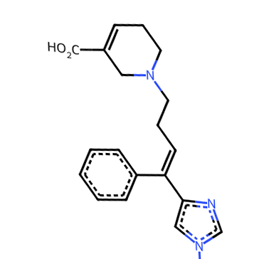 Cn1cnc(C(=CCCN2CCC=C(C(=O)O)C2)c2ccccc2)c1